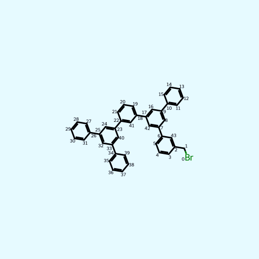 BrCc1cccc(-c2cc(-c3ccccc3)cc(-c3cccc(-c4cc(-c5ccccc5)cc(-c5ccccc5)c4)c3)c2)c1